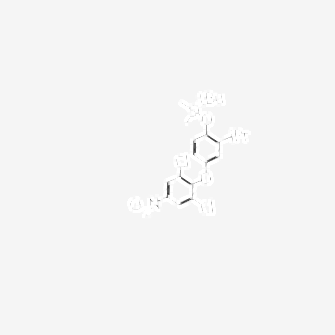 CC(C)c1cc(Oc2c(Cl)cc([N+](=O)[O-])cc2Cl)ccc1O[Si](C)(C)C(C)(C)C